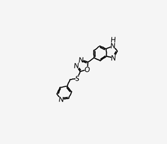 c1cc(CSc2nnc(-c3ccc4[nH]cnc4c3)o2)ccn1